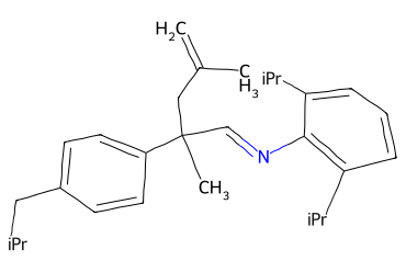 C=C(C)CC(C)(C=Nc1c(C(C)C)cccc1C(C)C)c1ccc(CC(C)C)cc1